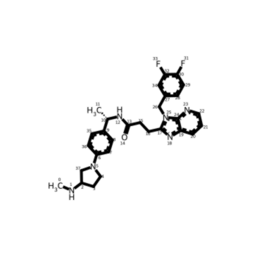 CNC1CCN(c2ccc([C@H](C)NC(=O)CCc3nc4cccnc4n3Cc3ccc(F)c(F)c3)cc2)C1